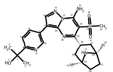 CC(C)(O)c1ccc(-c2cnn3c(N)c(S(C)(=O)=O)c([C@@H]4C[C@H]5CC[C@@H](C4)N5)nc23)cn1